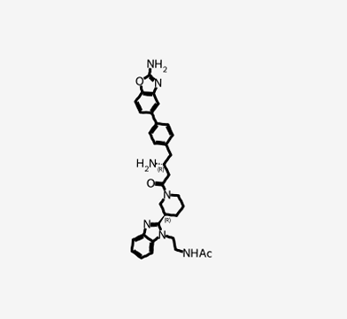 CC(=O)NCCn1c([C@@H]2CCCN(C(=O)C[C@H](N)Cc3ccc(-c4ccc5oc(N)nc5c4)cc3)C2)nc2ccccc21